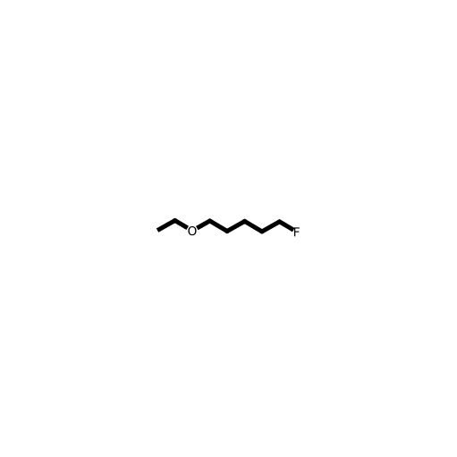 CCOCCCCCF